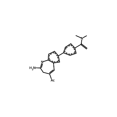 C=C(c1ccc(-c2ccc3c(c2)C=C(C(C)=O)CC(N)=N3)cc1)N(C)C